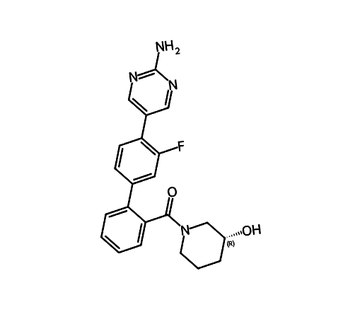 Nc1ncc(-c2ccc(-c3ccccc3C(=O)N3CCC[C@@H](O)C3)cc2F)cn1